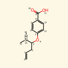 C=CCC(Oc1ccc(C(=O)O)cc1)[SiH](C)C